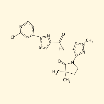 Cn1cc(NC(=O)c2csc(-c3ccnc(Cl)c3)n2)c(N2CCC(C)(C)C2=O)n1